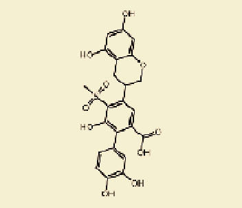 CS(=O)(=O)c1c(C2COc3cc(O)cc(O)c3C2)cc(C(=O)O)c(-c2ccc(O)c(O)c2)c1O